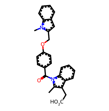 Cc1c(CC(=O)O)c2ccccc2n1C(=O)c1ccc(OCc2cc3ccccc3n2C)cc1